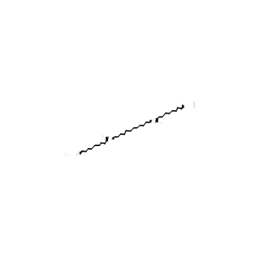 C=CCCCCCCCC(=O)OCCCCCCCCCCCCOC(=O)CCCCCCCC=C